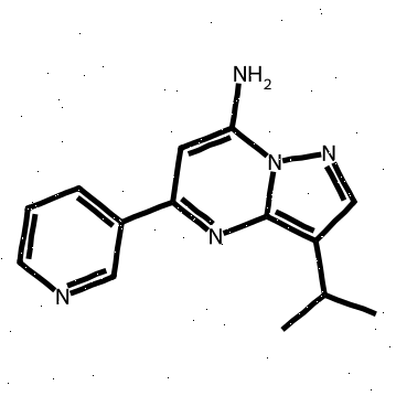 CC(C)c1cnn2c(N)cc(-c3cccnc3)nc12